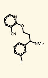 CNC(CCOc1ncccc1C#N)c1cccc(F)c1